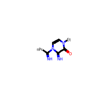 CCCC(=N)n1ccn(CC)c(=O)c1=N